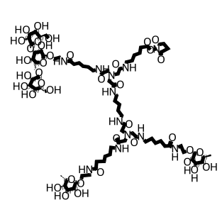 C[C@@H]1O[C@@H](OCCNC(=O)CCCCCNC(=O)CN(CC(=O)NCCCCCNC(=O)CN(CC(=O)NCCCCCC(=O)NCCO[C@H]2O[C@H](CO[C@H]3O[C@H](CO)[C@@H](O)[C@H](O)[C@@H]3O)[C@@H](O)[C@H](O[C@H]3O[C@H](CO)[C@@H](O)[C@H](O)[C@@H]3O)[C@@H]2O)CC(=O)NCCCCCC(=O)ON2C(=O)CCC2=O)CC(=O)NCCCCCC(=O)NCCO[C@@H]2O[C@@H](C)[C@@H](O)[C@@H](O)[C@@H]2O)[C@@H](O)[C@H](O)[C@@H]1O